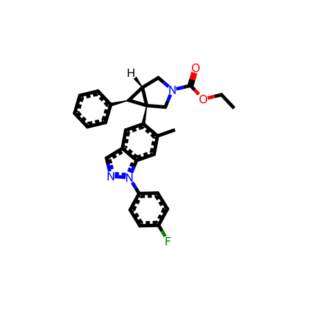 CCOC(=O)N1C[C@H]2[C@H](c3ccccc3)[C@@]2(c2cc3cnn(-c4ccc(F)cc4)c3cc2C)C1